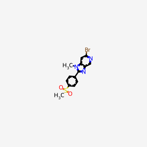 Cn1c(-c2ccc(S(C)(=O)=O)cc2)nc2cnc(Br)cc21